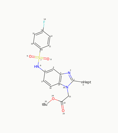 CCCCCCCc1nc2cc(NS(=O)(=O)c3ccc(F)cc3)ccc2n1CC(=O)OC(C)(C)C